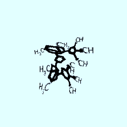 C#Cc1cc(C23CC4(C)CC(C)(CC(c5cccc(C67CC8(C)CC(C)(C6)CC(c6cc(C#C)c(C#C)c(C#C)c6)(C8)C7)c5)(C4)C2)C3)cc(C#C)c1C#C